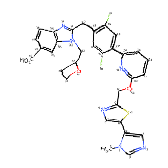 Cn1cncc1-c1cnc(COc2cccc(-c3cc(F)c(Cc4nc5ccc(C(=O)O)cc5n4CC4CCO4)cc3F)n2)s1